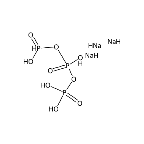 O=[PH](O)OP(=O)(O)OP(=O)(O)O.[NaH].[NaH].[NaH]